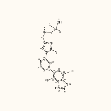 Cc1nc(CN(C)CC(C)(C)O)sc1-c1cccc(-c2cc(F)c3nn[nH]c3c2F)n1